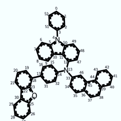 c1ccc(-n2c3ccccc3c3c(N(c4ccc(-c5cccc6c5oc5ccccc56)cc4)c4ccc5ccc6ccccc6c5c4)cccc32)cc1